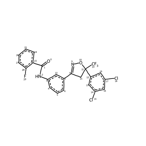 O=C(Nc1cccc(C2=NOC(c3cc(Cl)cc(Cl)c3)(C(F)(F)F)C2)c1)c1ccccc1F